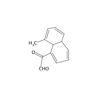 CC1=CC=CC2C=CC=C(C(=O)C=O)C12